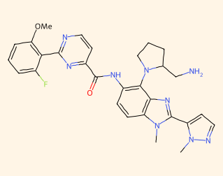 COc1cccc(F)c1-c1nccc(C(=O)Nc2ccc3c(nc(-c4ccnn4C)n3C)c2N2CCCC2CN)n1